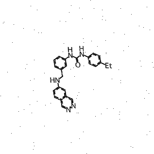 CCc1ccc(NC(=O)Nc2cccc(CNc3ccc4cnncc4c3)c2)cc1